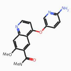 CNC(=O)c1cc2c(Oc3ccc(N)nc3)ccnc2cc1OC